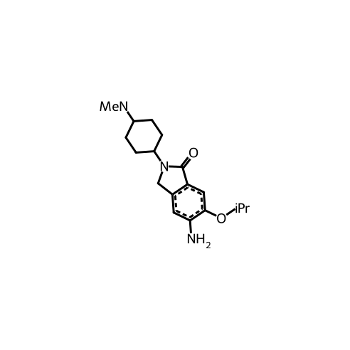 CNC1CCC(N2Cc3cc(N)c(OC(C)C)cc3C2=O)CC1